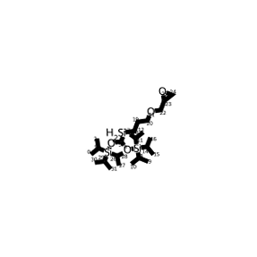 CC(C)[Si](OC(O[Si](C(C)C)(C(C)C)C(C)C)[SiH2]CCCOCC1CO1)(C(C)C)C(C)C